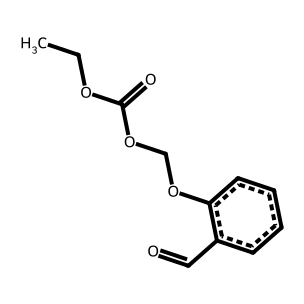 CCOC(=O)OCOc1ccccc1C=O